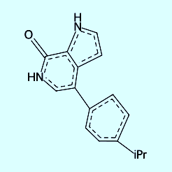 CC(C)c1ccc(-c2c[nH]c(=O)c3[nH]ccc23)cc1